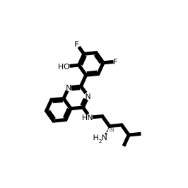 CC(C)C[C@H](N)CNc1nc(-c2cc(F)cc(F)c2O)nc2ccccc12